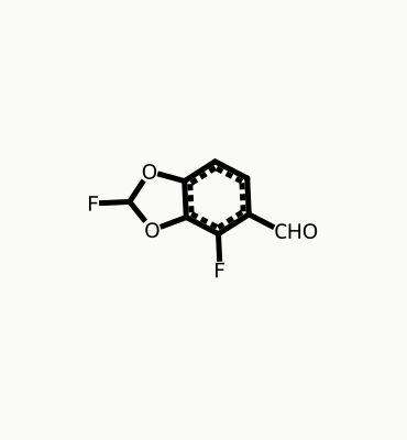 O=Cc1ccc2c(c1F)OC(F)O2